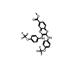 COC(=O)c1ccc2nc(Nc3ccc(OC(F)(F)F)cc3)c(Nc3ccc(OC(F)(F)F)cc3)nc2c1